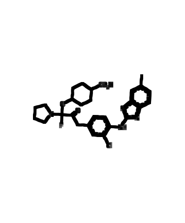 Cc1ccc2nc(Nc3ccc(CC(=O)C(F)(OC4CCC(C(=O)O)CC4)N4CCCC4)cc3Cl)sc2c1